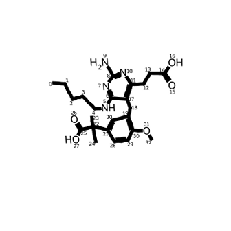 CCCCCNc1nc(N)nc(CCC(=O)O)c1Cc1cc(C(C)(C)C(=O)O)ccc1OC